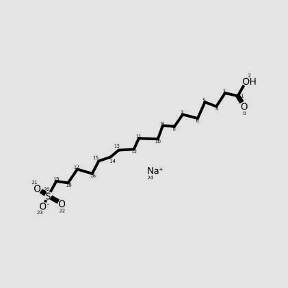 O=C(O)CCCCCCCCCCCCCCCCCS(=O)(=O)[O-].[Na+]